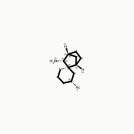 CC(=O)[C@@H]1CCC[C@@]2(C1)[C@H]1CC[C@H](C1)[C@H]2N